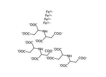 O=C([O-])CC(NC(CC(=O)[O-])C(=O)[O-])C(=O)[O-].O=C([O-])CC(NC(CC(=O)[O-])C(=O)[O-])C(=O)[O-].O=C([O-])CC(NC(CC(=O)[O-])C(=O)[O-])C(=O)[O-].[Fe+3].[Fe+3].[Fe+3].[Fe+3]